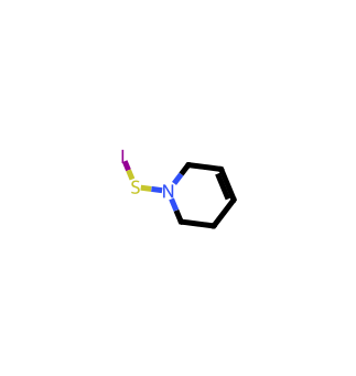 ISN1CC=CCC1